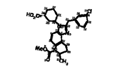 COC(=O)N1c2ccc3c(nc(Cc4cccc(Cl)c4)n3[C@@H]3CCC[C@@H](C(=O)O)C3)c2CCC1C